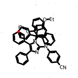 CCOc1cc(CN(c2ccc(C#N)cc2)c2nc(-c3ccccc3)c(-c3ccccc3)n2C(c2ccccc2)(c2ccccc2)c2ccccc2)c(F)c(OC(C)C)c1